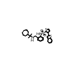 CC(C)(NCc1ccccc1NS(=O)(=O)c1sccc1-c1cc2ccccc2s1)C1CCCCCC1